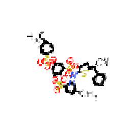 Cc1ccc(S(=O)(=O)Oc2ccc(OS(=O)(=O)c3ccc(C)cc3)c(S(=O)(=O)ONC3C=CC(=C(C#N)c4ccccc4)S3)c2)cc1